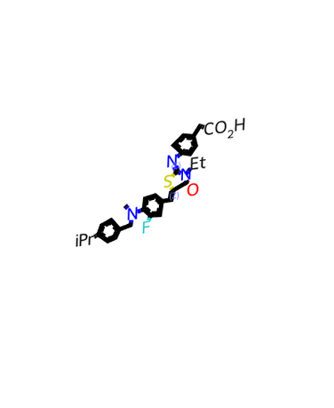 CCN1C(=O)/C(=C/c2ccc(N(C)Cc3ccc(C(C)C)cc3)c(F)c2)S/C1=N/c1ccc(CC(=O)O)cc1